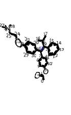 CC(=O)Oc1ccc(/C(=C(\c2ccccc2)C(C)C)c2ccc(OCCN(C)C)cc2)cc1